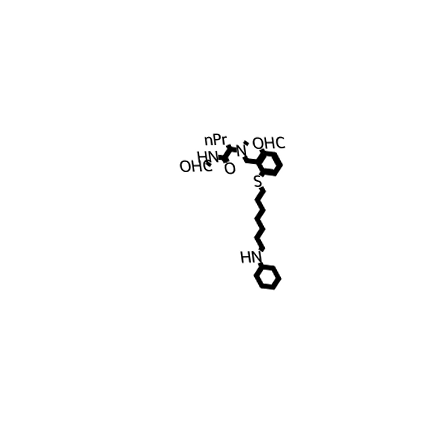 CCCC(C(=O)NC=O)N(C)Cc1c(C=O)cccc1SCCCCCCCNC1CCCCC1